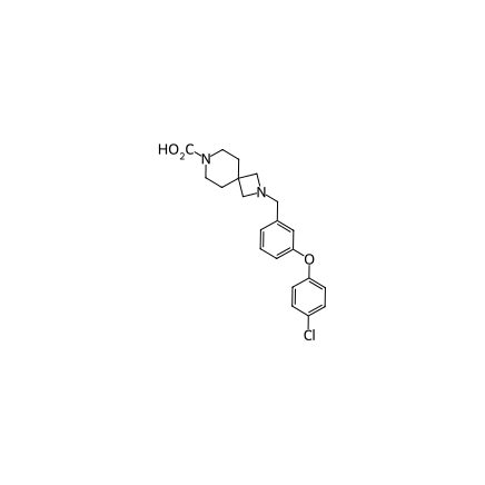 O=C(O)N1CCC2(CC1)CN(Cc1cccc(Oc3ccc(Cl)cc3)c1)C2